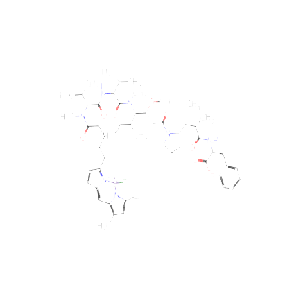 CC[C@H](C)[C@@H]([C@@H](CC(=O)N1CCC[C@H]1[C@H](OC)[C@@H](C)C(=O)N[C@@H](Cc1ccccc1)C(=O)O)OC)N(C)C(=O)[C@@H](NC(=O)[C@H](C(C)C)N(C)C(=O)CCCCC1=[N+]2C(=Cc3c(C)cc(C)n3[I-]2(F)F)C=C1)C(C)C